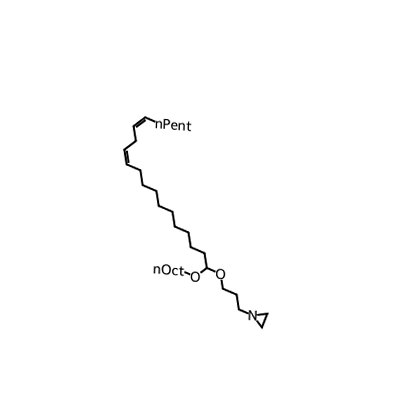 CCCCC/C=C\C/C=C\CCCCCCCCCC(OCCCCCCCC)OCCCN1CC1